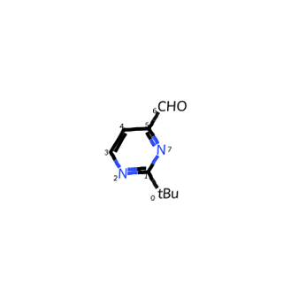 CC(C)(C)c1nccc(C=O)n1